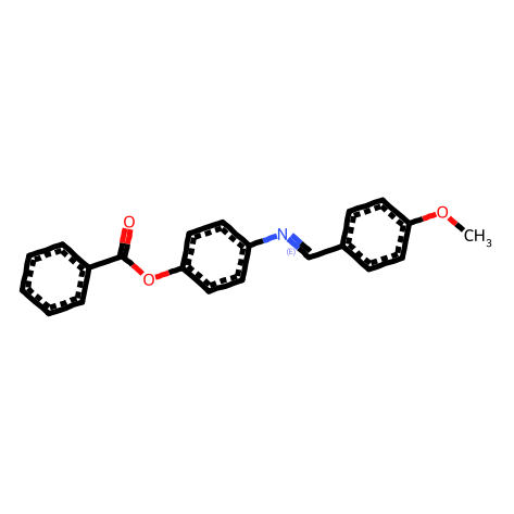 COc1ccc(/C=N/c2ccc(OC(=O)c3ccccc3)cc2)cc1